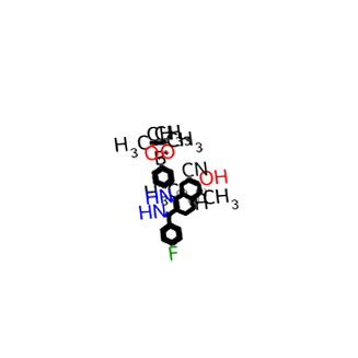 C[C@H]1C(O)=C(C#N)C[C@@]2(C)C(Nc3ccc(B4OC(C)(C)C(C)(C)O4)cc3)=C(C(=N)c3ccc(F)cc3)CC[C@H]12